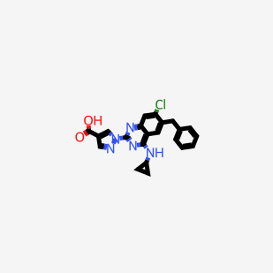 O=C(O)c1cnn(-c2nc(NC3CC3)c3cc(Cc4ccccc4)c(Cl)cc3n2)c1